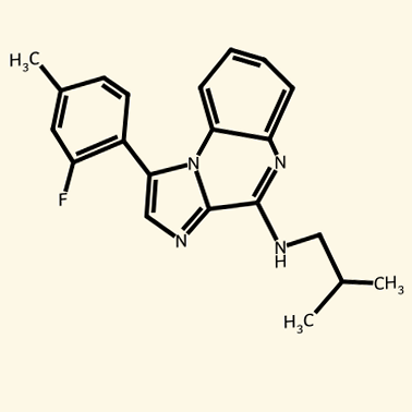 Cc1ccc(-c2cnc3c(NCC(C)C)nc4ccccc4n23)c(F)c1